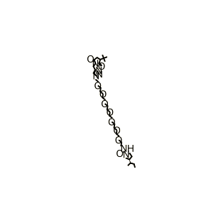 CCC(C)[C@@H]1CCN(C(=O)NCCOCCOCCOCCOCCOCCOCCOCCn2cc(CN3C(=O)CC(C(C)(C)C)C3=O)nn2)C1